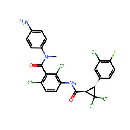 CN(C(=O)c1c(Cl)ccc(NC(=O)[C@H]2[C@H](c3ccc(F)c(Cl)c3)C2(Cl)Cl)c1Cl)c1ccc(N)cc1